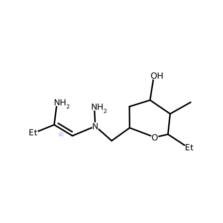 CC/C(N)=C/N(N)CC1CC(O)C(C)C(CC)O1